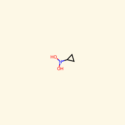 ON(O)C1CC1